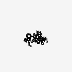 [2H]C1CCC(C(N)=O)(C(=O)O)[N+]1(C(=O)O)N1C(C)=C(c2ccnc(C3(C)CCC3)c2)SC1C(N)=O